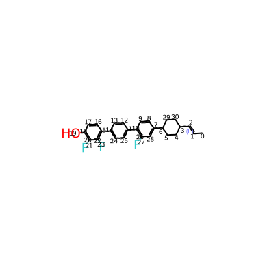 C/C=C/C1CCC(c2ccc(-c3ccc(-c4ccc(O)c(F)c4F)cc3)c(F)c2)CC1